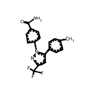 Cc1ccc(-c2cc(C(F)(F)F)nn2-c2ccc(C(N)=O)cc2)cc1